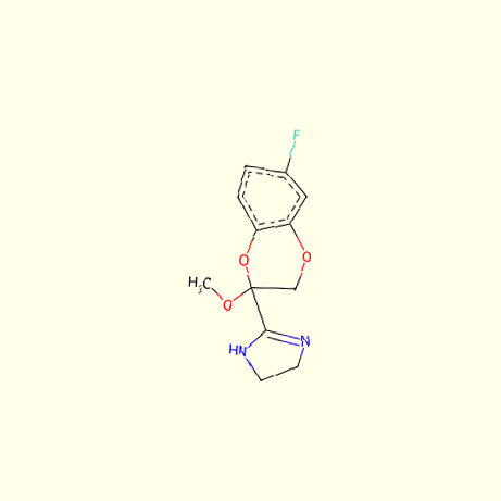 COC1(C2=NCCN2)COc2cc(F)ccc2O1